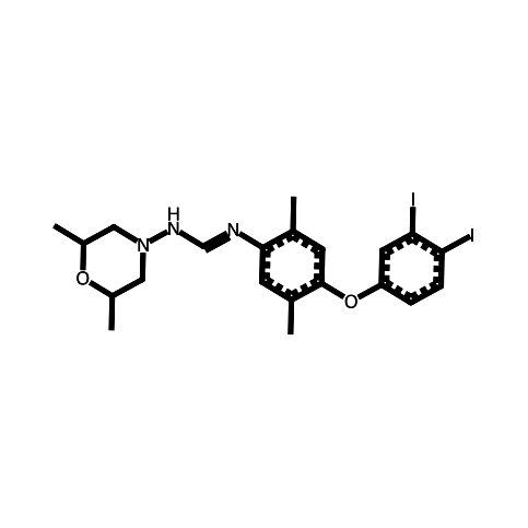 Cc1cc(Oc2ccc(I)c(I)c2)c(C)cc1N=CNN1CC(C)OC(C)C1